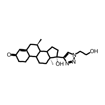 C[C@@H]1CC2=CC(=O)CCC2C2CC[C@@]3(C)C(CC[C@@]3(O)c3cn(CCO)nn3)C21